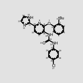 CC(C)(C)c1ccccc1Oc1nc(-c2ncc[nH]2)ccc1NC(=O)Nc1ccc(Cl)cc1